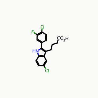 O=C(O)CCCc1c(-c2ccc(Cl)c(F)c2)[nH]c2ccc(Cl)cc12